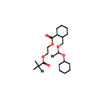 CCC(OCC1CCCCC1C(=O)OCCOC(=O)C(C)(C)CC)OC1CCCCC1